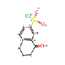 O=C1CCCc2ccc(S(=O)(=O)Cl)cc21